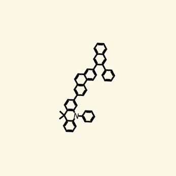 CC1(C)c2ccccc2N(c2ccccc2)c2cc(-c3ccc4c(ccc5cc(-c6cc7ccccc7cc6-c6ccccc6)ccc54)c3)ccc21